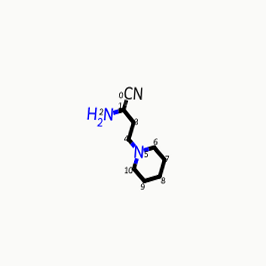 N#CC(N)CCN1CCCCC1